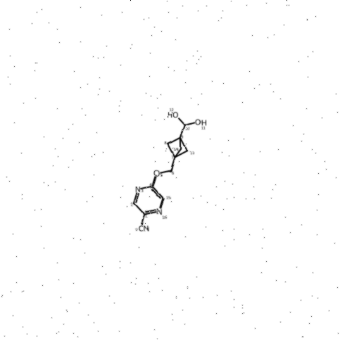 N#Cc1cnc(OCC23CC(C(O)O)(C2)C3)cn1